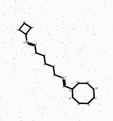 C(=N\CCCCC/C=N/C1CCC1)/C1CCCCCCC1